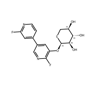 O[C@@H]1[C@@H](O)[C@@H](Oc2cc(-c3ccnc(F)c3)cnc2F)SC[C@H]1O